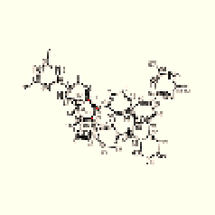 Cc1nc(C)nc(-c2ccc3c(c2)c2ccccc2n3-c2cccc(C#N)c2-c2c(-c3ccc(C#N)cc3C#N)cccc2-n2c3ccccc3c3cc(-c4nc(C)nc(C)n4)ccc32)n1